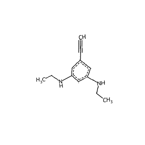 C#Cc1cc(NCC)[c]c(NCC)c1